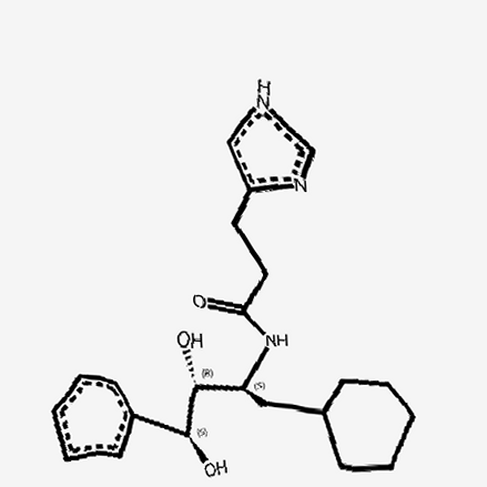 O=C(CCc1c[nH]cn1)N[C@@H](CC1CCCCC1)[C@@H](O)[C@@H](O)c1ccccc1